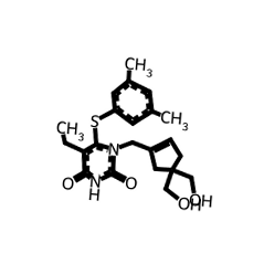 CCc1c(Sc2cc(C)cc(C)c2)n(CC2=CCC(CO)(CO)C2)c(=O)[nH]c1=O